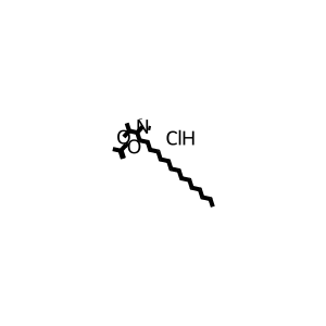 C=C(C)C(=O)OC(C)C(CCCCCCCCCCCCCCC)N(C)C.Cl